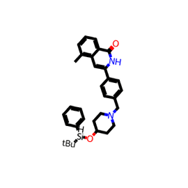 Cc1cccc2c(=O)[nH]c(-c3ccc(CN4CCC(O[SiH](c5ccccc5)C(C)(C)C)CC4)cc3)cc12